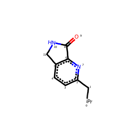 CC(C)Cc1ccc2c(n1)C(=O)NC2